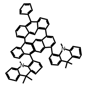 CN1c2ccccc2C(C)(C)c2cccc(-c3ccc(-c4cccc5c(-c6ccccc6)c6cccc(-c7ccc(-c8cccc9c8N(C)c8ccccc8C9(C)C)c8ccccc78)c6cc45)c4ccccc34)c21